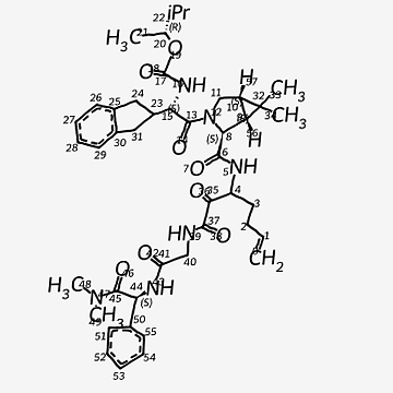 C=CCCC(NC(=O)[C@@H]1[C@@H]2[C@H](CN1C(=O)[C@@H](NC(=O)O[C@H](C)C(C)C)C1Cc3ccccc3C1)C2(C)C)C(=O)C(=O)NCC(=O)N[C@H](C(=O)N(C)C)c1ccccc1